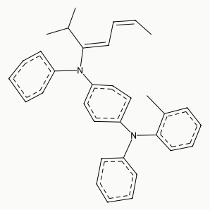 C/C=C\C=C(/C(C)C)N(c1ccccc1)c1ccc(N(c2ccccc2)c2ccccc2C)cc1